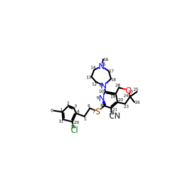 Cc1ccc(CCSc2nc(N3CCCN(C)CC3)c3c(c2C#N)CC(C)(C)OC3)c(Cl)c1